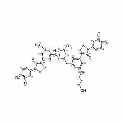 Cc1cc(NCC(Cc2cc(NCCCO)nc(N3CCN(c4ccc(Cl)c(Cl)c4)C3=O)n2)CN(C)C)nc(N2CCN(c3ccc(Cl)c(Cl)c3)C2=O)n1